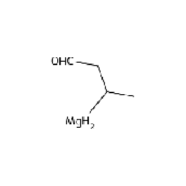 CC(C)CC=O.[MgH2]